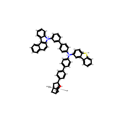 C[C@H]1CC2C[C@H]3CC(c4ccc(-c5ccc(N(c6ccc(-c7cccc(-n8c9ccccc9c9c%10ccccc%10ccc98)c7)cc6)c6ccc7sc8ccccc8c7c6)cc5)cc4)(CC23)C1